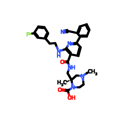 CN1CCN(C(=O)O)[C@@](C)(CNC(=O)c2ccc(-c3ccccc3C#N)nc2NCCc2cccc(F)c2)C1